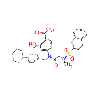 CN(CC(=O)N(Cc1ccc(C2CCCCC2)cc1)c1ccc(C(=O)O)c(O)c1)S(=O)(=O)c1ccc2ccccc2c1